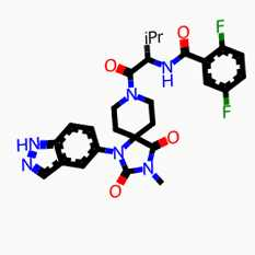 CC(C)C(NC(=O)c1cc(F)ccc1F)C(=O)N1CCC2(CC1)C(=O)N(C)C(=O)N2c1ccc2[nH]ncc2c1